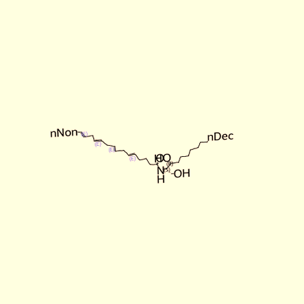 CCCCCCCCC/C=C/C/C=C/C/C=C/C/C=C/CCCC(=O)N[C@@H](CO)[C@H](O)CCCCCCCCCCCCCCCCC